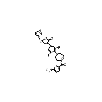 O=C(c1ccc([N+](=O)[O-])o1)N1CCN(c2c(F)cc(N3C[C@H](Cn4ccnn4)OC3=O)cc2F)CCO1